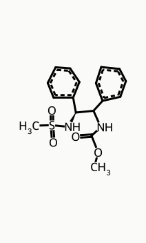 COC(=O)NC(c1ccccc1)[C@@H](NS(C)(=O)=O)c1ccccc1